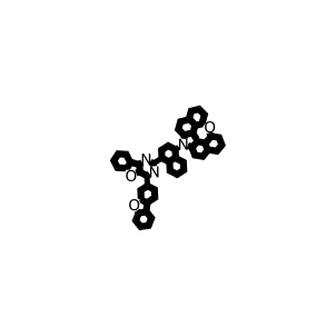 c1ccc2c(c1)oc1cc(-c3nc(-c4ccc(-n5c6ccc7cccc8oc9cccc%10ccc5c(c%109)c6c78)c5ccccc45)nc4c3oc3ccccc34)ccc12